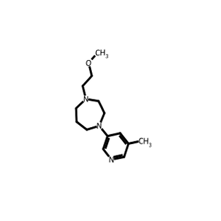 COCCN1CCCN(c2cncc(C)c2)CC1